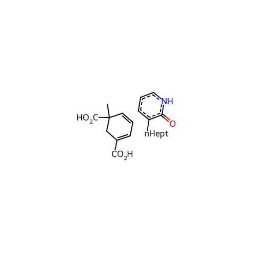 CC1(C(=O)O)C=CC=C(C(=O)O)C1.CCCCCCCc1ccc[nH]c1=O